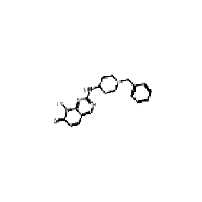 CC(C)n1c(=O)ccc2cnc(NC3CCN(Cc4ccccc4)CC3)nc21